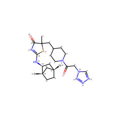 CC1(CC2CCN(C(=O)Cn3cnnn3)CC2)SC(N[C@H]2C[C@@H]3CC[C@H]2C3)=NC1=O